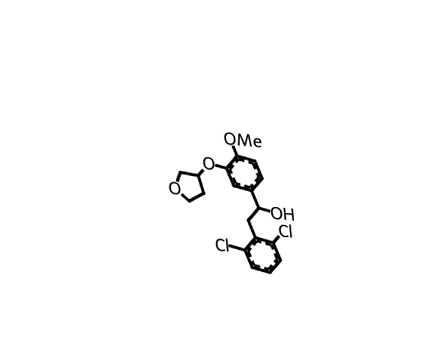 COc1ccc(C(O)Cc2c(Cl)cccc2Cl)cc1OC1CCOC1